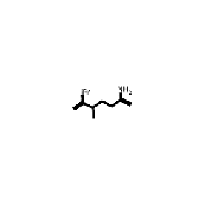 C=C(N)CCC(C)C(=C)C(C)C